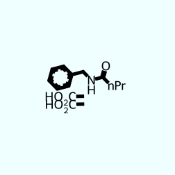 CC(=O)O.CC(=O)O.CCCC(=O)NCc1ccccc1